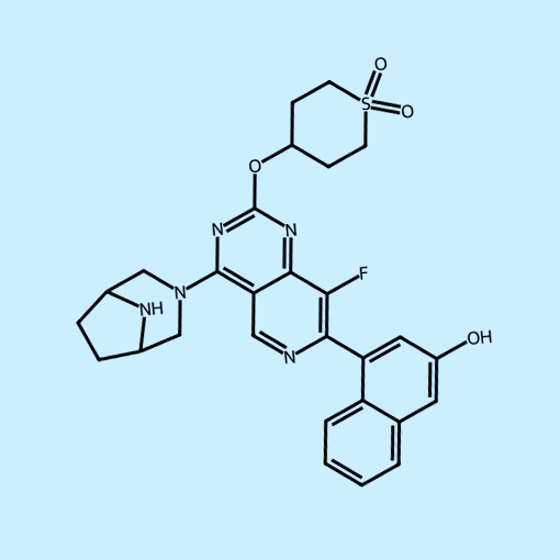 O=S1(=O)CCC(Oc2nc(N3CC4CCC(C3)N4)c3cnc(-c4cc(O)cc5ccccc45)c(F)c3n2)CC1